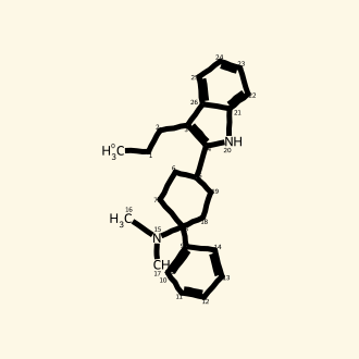 CCCc1c(C2CCC(c3ccccc3)(N(C)C)CC2)[nH]c2ccccc12